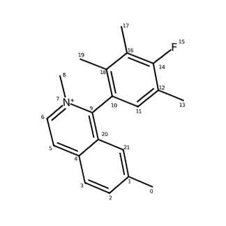 Cc1ccc2cc[n+](C)c(-c3cc(C)c(F)c(C)c3C)c2c1